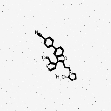 C[C@@H]1CCCN1CCc1oc2ccc(-c3ccc(C#N)cc3)cc2c1-c1ccsc1C=O